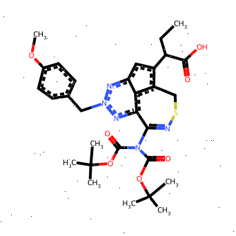 CCC(C(=O)O)c1cc2nn(Cc3ccc(OC)cc3)nc3c-2c1CSN=C3N(C(=O)OC(C)(C)C)C(=O)OC(C)(C)C